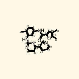 Cc1ccc(NC(=O)c2cc(C)c(C)o2)cc1Nc1nccc(-c2cccnc2)n1